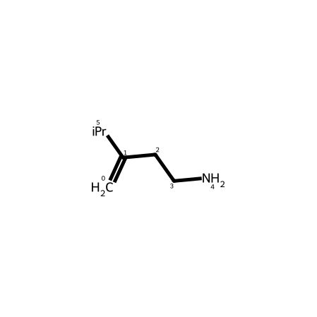 C=C(CCN)C(C)C